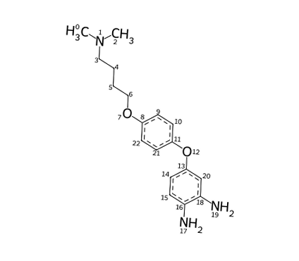 CN(C)CCCCOc1ccc(Oc2ccc(N)c(N)c2)cc1